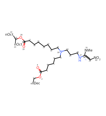 CCCCCCCCCCCOC(=O)CCCCCN(CCCCCCCC(=O)OC(CCCCCCCC)CCCCCCCC)CCCN/C(=C/[N+](=O)[O-])NC